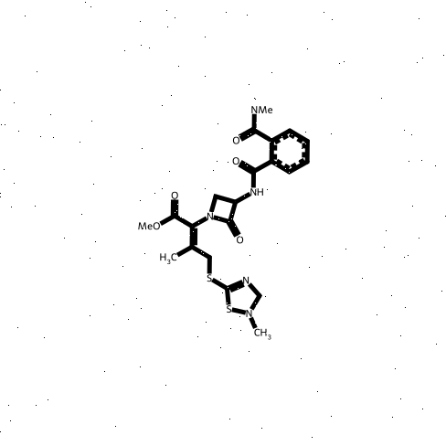 CNC(=O)c1ccccc1C(=O)NC1CN(C(C(=O)OC)=C(C)CSC2=NCN(C)S2)C1=O